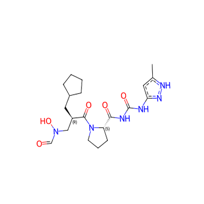 Cc1cc(NC(=O)NC(=O)[C@@H]2CCCN2C(=O)[C@H](CC2CCCC2)CN(O)C=O)n[nH]1